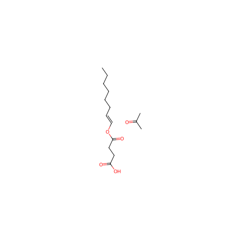 CC(C)=O.CCCCCCC=COC(=O)CCC(=O)O